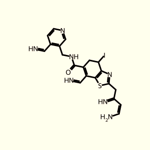 N=CC1=C(C(=O)NCc2cnccc2C=N)CC(I)c2nc(CC(=N)/C=C\N)sc21